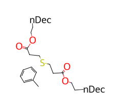 CCCCCCCCCCCCOC(=O)CCSCCC(=O)OCCCCCCCCCCCC.Cc1ccccc1